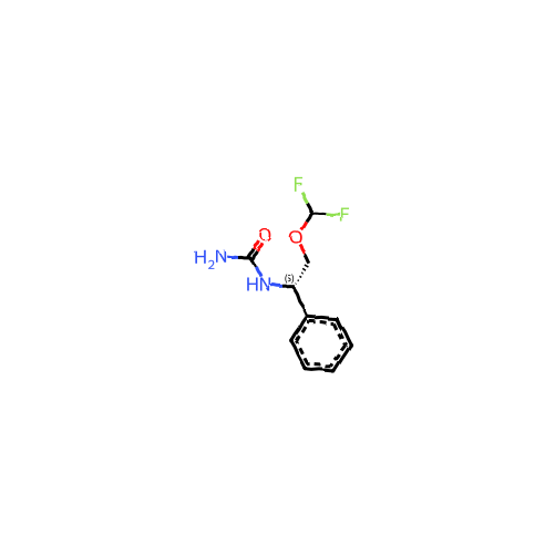 NC(=O)N[C@H](COC(F)F)c1ccccc1